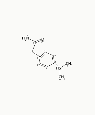 C[SH](C)c1ccc(CC(N)=O)cc1